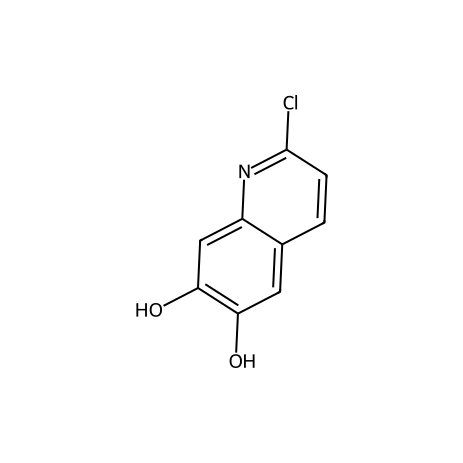 Oc1cc2ccc(Cl)nc2cc1O